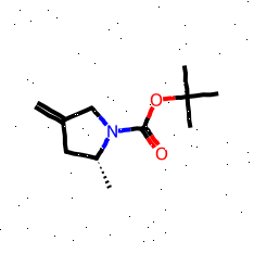 C=C1C[C@@H](C)N(C(=O)OC(C)(C)C)C1